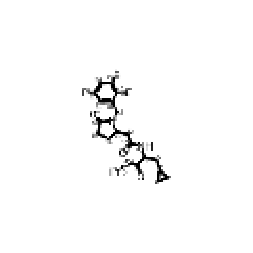 CC(C)SC(=O)C(CC1CC1)NC(=O)CC1CCC(=O)N1Cc1cc(F)cc(F)c1F